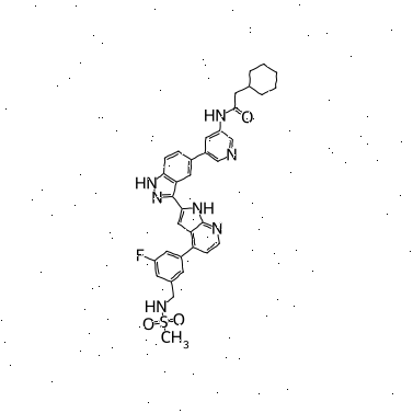 CS(=O)(=O)NCc1cc(F)cc(-c2ccnc3[nH]c(-c4n[nH]c5ccc(-c6cncc(NC(=O)CC7CCCCC7)c6)cc45)cc23)c1